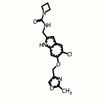 Cc1nc(COc2cc3[nH]c(CNC(=O)N4CCC4)cc3cc2Cl)co1